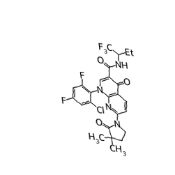 CCC(NC(=O)c1cn(-c2c(F)cc(F)cc2Cl)c2nc(N3CCC(C)(C)C3=O)ccc2c1=O)C(F)(F)F